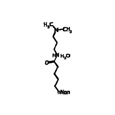 CCCCCCCCCCCCCC(=O)NCCCN(C)C.O